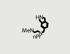 CCCN(CCNC)Cc1ccc2c(c1)CNC2